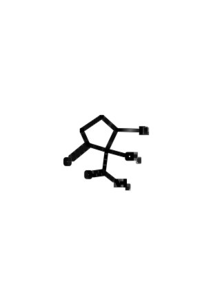 CCC1CCC(=O)C1(C)C(N)=O